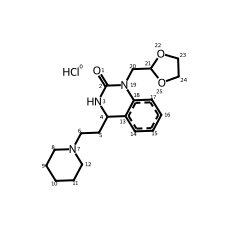 Cl.O=C1NC(CCN2CCCCC2)c2ccccc2N1CC1OCCO1